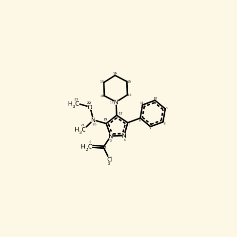 C=C(Cl)n1nc(-c2ccccc2)c(N2CCCCC2)c1N(C)OC